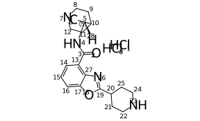 Cl.Cl.O=C(N[C@@H]1CN2CCC1CC2)c1cccc2oc(C3CCNCC3)nc12